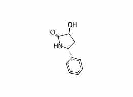 O=C1N[C@@H](c2ccccc2)C[C@@H]1O